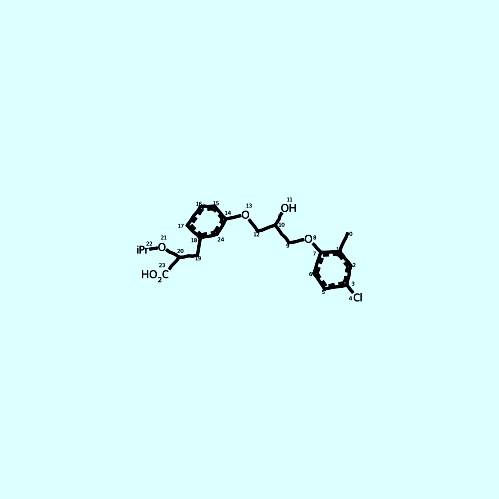 Cc1cc(Cl)ccc1OCC(O)COc1cccc(CC(OC(C)C)C(=O)O)c1